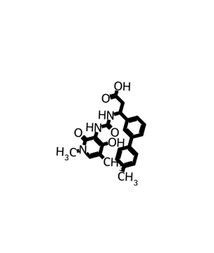 Cc1ccc(-c2cccc(C(CC(=O)O)NC(=O)Nc3c(O)c(C)cn(C)c3=O)c2)cc1